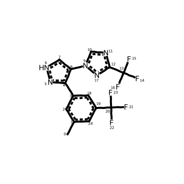 Cc1cc(-c2n[nH]cc2-n2cnc(C(F)(F)F)n2)cc(C(F)(F)F)c1